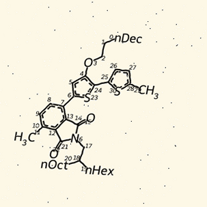 CCCCCCCCCCCCOc1cc(-c2ccc(C)c3c2C(=O)N(CC(CCCCCC)CCCCCCCC)C3=O)sc1-c1ccc(C)s1